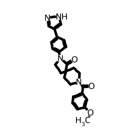 COc1cccc(C(=O)N2CCC3(CC2)CCN(c2ccc(-c4cn[nH]c4)cc2)C3=O)c1